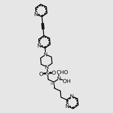 O=CN(O)[C@@H](CCCc1ncccn1)CS(=O)(=O)N1CCN(c2ccc(C#Cc3ccccn3)cn2)CC1